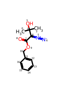 CC(C)(O)C(=[N+]=[N-])C(=O)OCc1ccccc1